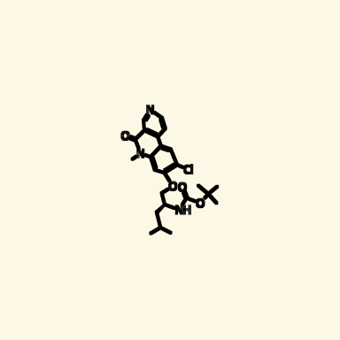 CC(C)C[C@@H](COc1cc2c(cc1Cl)c1ccncc1c(=O)n2C)NC(=O)OC(C)(C)C